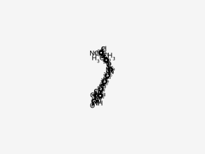 Cn1c(=O)n(C2CCC(=O)NC2=O)c2cccc(C3CCN(CC4(F)CCN(C5CCN(c6nccc(COc7ccc(C(C)(C)c8cc(Cl)cc(C#N)c8)cc7)n6)CC5)CC4)CC3)c21